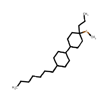 CCCCCCCC1CCC(C2CCC(CCC)(SC)CC2)CC1